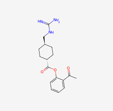 CC(=O)c1ccccc1OC(=O)[C@H]1CC[C@H](CNC(=N)N)CC1